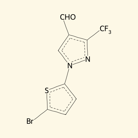 O=Cc1cn(-c2ccc(Br)s2)nc1C(F)(F)F